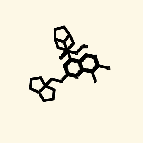 CC(C)(C)OC(=O)N1C2CCC1CN(c1cc(OCC34CCCN3CCC4)nc3c(F)c(Cl)ncc13)C2